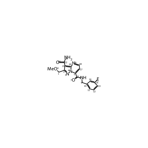 COCc1nn2c(C(=O)NCc3cccc(F)c3)ccnc2c1C(N)=O